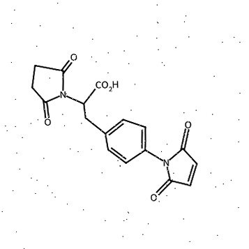 O=C(O)C(Cc1ccc(N2C(=O)C=CC2=O)cc1)N1C(=O)CCC1=O